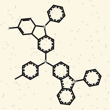 Cc1ccc(N(c2ccc3c(c2)C2C=C(I)C=CC2N3c2ccccc2)c2ccc3c(c2)c2ccccc2n3-c2ccccc2)cc1